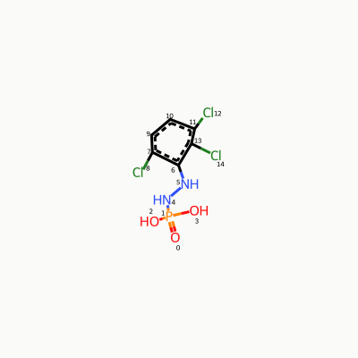 O=P(O)(O)NNc1c(Cl)ccc(Cl)c1Cl